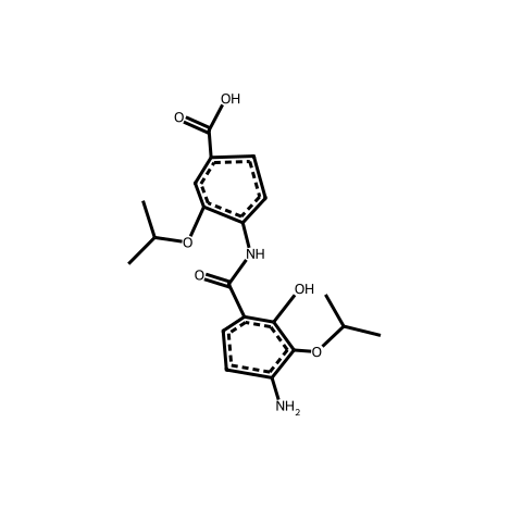 CC(C)Oc1cc(C(=O)O)ccc1NC(=O)c1ccc(N)c(OC(C)C)c1O